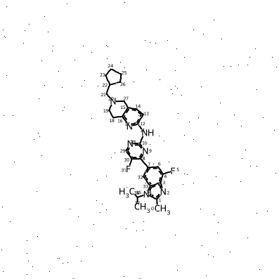 Cc1nc2c(F)cc(-c3nc(Nc4ccc5c(n4)CCN(CC4CCCC4)C5)ncc3F)cc2n1C(C)C